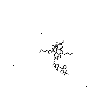 CCCCOC(=O)C(C[C@@H](F)Cn1cc(C(=O)OC(C)(C)C)nn1)(C(=O)OCCCC)c1ccc(I)nn1